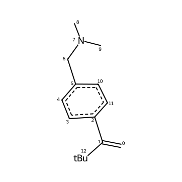 C=C(c1ccc(CN(C)C)cc1)C(C)(C)C